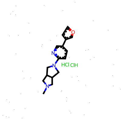 CN1CC2CN(c3ccc(-c4ccoc4)cn3)CC2C1.Cl.Cl